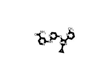 Cc1cccc(-c2nc(C3CC3)sc2Oc2ccnc(Nc3cc(C(N)=O)ccn3)c2)n1